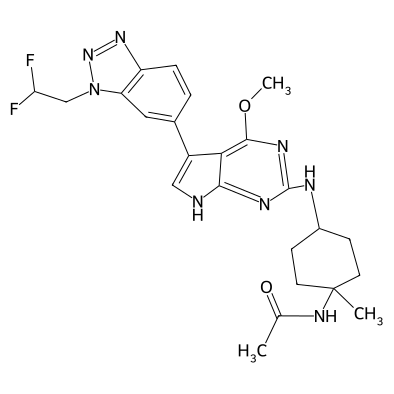 COc1nc(NC2CCC(C)(NC(C)=O)CC2)nc2[nH]cc(-c3ccc4nnn(CC(F)F)c4c3)c12